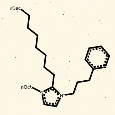 CCCCCCCCCCCCCCCCCc1n(CCCCCCCC)cc[n+]1CCCc1ccccc1